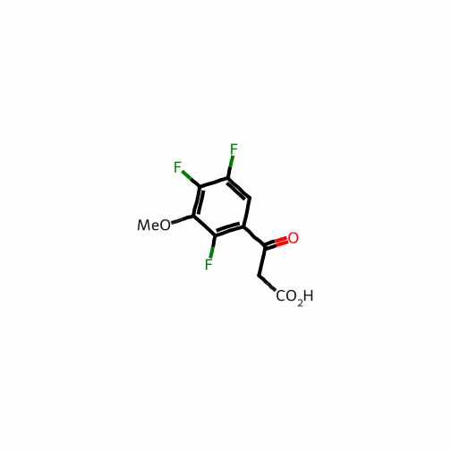 COc1c(F)c(F)cc(C(=O)CC(=O)O)c1F